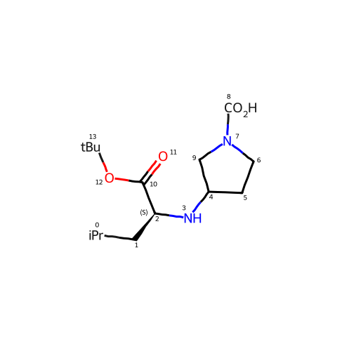 CC(C)C[C@H](NC1CCN(C(=O)O)C1)C(=O)OC(C)(C)C